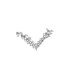 [Ba+2].[Ba+2].[Cu+2].[Cu+2].[O-2].[O-2].[O-2].[O-2].[O-2].[O-2].[O-2].[Pr+3].[Pr+3]